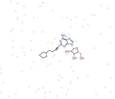 Nc1nc(C#CCCC2CCCC2)nc2c1ncn2[C@@H]1O[C@H](CO)C(O)C1O